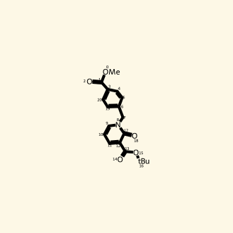 COC(=O)c1ccc(Cn2cccc(C(=O)OC(C)(C)C)c2=O)cc1